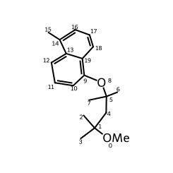 COC(C)(C)CC(C)(C)Oc1cccc2c(C)cccc12